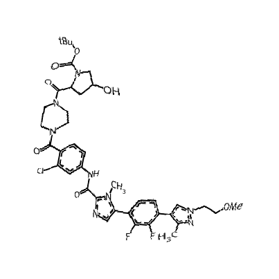 COCCn1cc(-c2ccc(-c3cnc(C(=O)Nc4ccc(C(=O)N5CCN(C(=O)C6CC(O)CN6C(=O)OC(C)(C)C)CC5)c(Cl)c4)n3C)c(F)c2F)c(C)n1